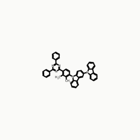 Cc1c(-c2nc(-c3ccccc3)nc(-c3ccccc3)n2)ccc(-n2c3ccccc3c3cc(-n4c5ccccc5c5ccccc54)ccc32)c1C